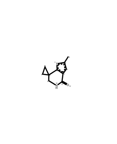 Cc1cc2c(s1)C1(CC1)CNC2=O